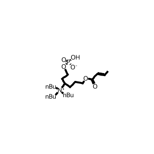 CC=CC(=O)OCCCC(CCOP(=O)([O-])O)[N+](CCCC)(CCCC)CCCC